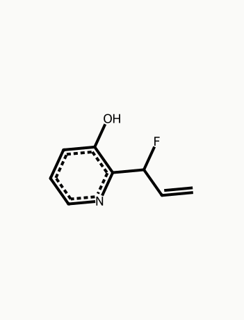 C=CC(F)c1ncccc1O